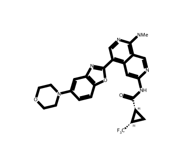 CNc1ncc(-c2nc3cc(N4CCOCC4)ccc3o2)c2cc(NC(=O)[C@@H]3C[C@@H]3C(F)(F)F)ncc12